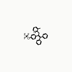 Cc1cccnc1CC(=C(c1ccccc1)c1ccccc1)c1ccc(OC(F)(F)F)cc1